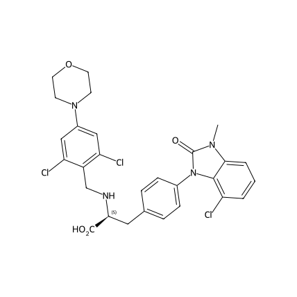 Cn1c(=O)n(-c2ccc(C[C@H](NCc3c(Cl)cc(N4CCOCC4)cc3Cl)C(=O)O)cc2)c2c(Cl)cccc21